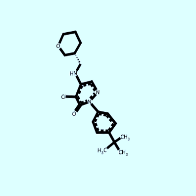 CC(C)(C)c1ccc(-n2ncc(NC[C@H]3CCCOC3)c(Cl)c2=O)cc1